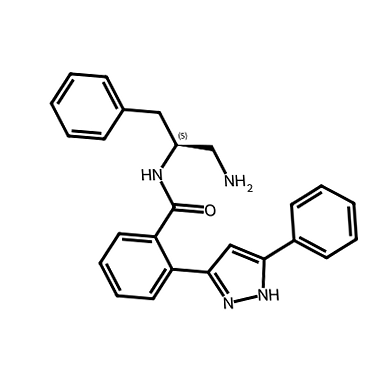 NC[C@H](Cc1ccccc1)NC(=O)c1ccccc1-c1cc(-c2ccccc2)[nH]n1